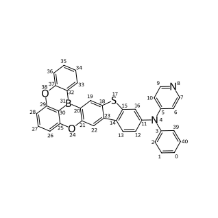 c1ccc(N(c2ccncc2)c2ccc3c(c2)sc2cc4c(cc23)Oc2cccc3c2B4c2ccccc2O3)cc1